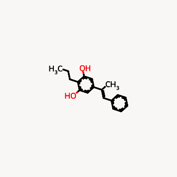 CCCc1c(O)cc(/C(C)=C/c2ccccc2)cc1O